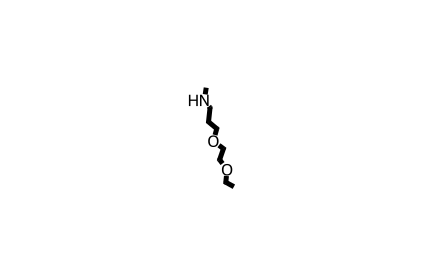 CCOCCOCCCNC